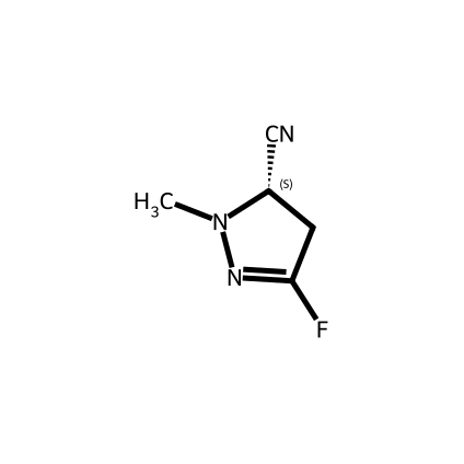 CN1N=C(F)C[C@H]1C#N